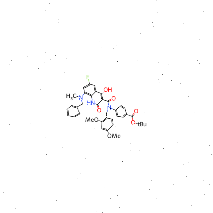 COc1ccc(CN(C(=O)c2c(O)c3cc(F)cc(N(C)Cc4ccccc4)c3[nH]c2=O)c2ccc(C(=O)OC(C)(C)C)cc2)c(OC)c1